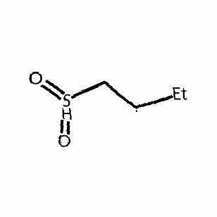 CC[CH]C[SH](=O)=O